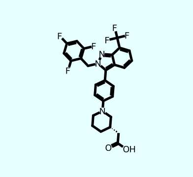 O=C(O)C[C@@H]1CCCN(c2ccc(-c3c4cccc(C(F)(F)F)c4nn3Cc3c(F)cc(F)cc3F)cc2)C1